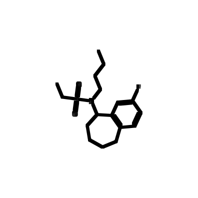 CCCCN(C1CCCCc2ccc(F)cc21)S(=O)(=O)CC